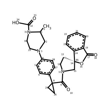 CC1CN(c2ccc(C3(C(=O)N4CC[C@@]5(C4)OC(=O)c4ccccc45)CC3)cc2)CCN1C(=O)O